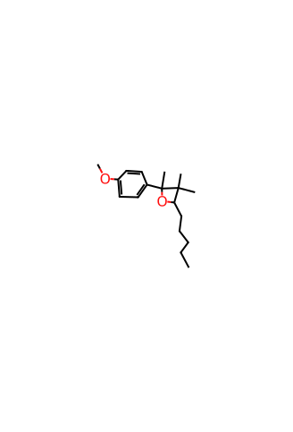 CCCCCC1OC(C)(c2ccc(OC)cc2)C1(C)C